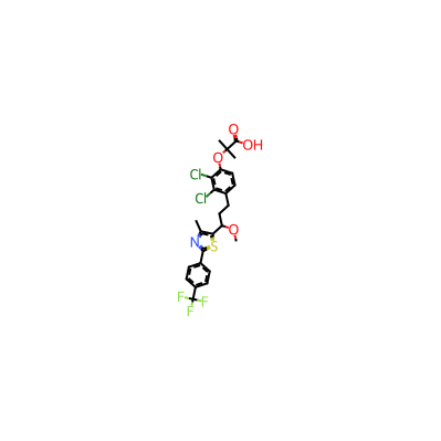 COC(CCc1ccc(OC(C)(C)C(=O)O)c(Cl)c1Cl)c1sc(-c2ccc(C(F)(F)F)cc2)nc1C